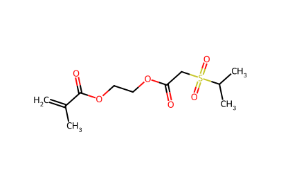 C=C(C)C(=O)OCCOC(=O)CS(=O)(=O)C(C)C